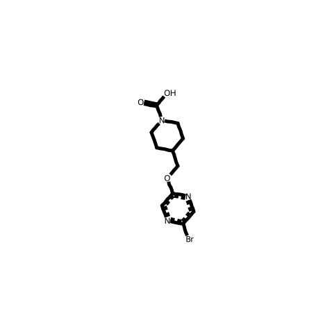 O=C(O)N1CCC(COc2cnc(Br)cn2)CC1